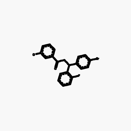 O=C(CC(c1ccc(Br)cc1)c1ccccc1F)c1ccc[n+]([O-])c1